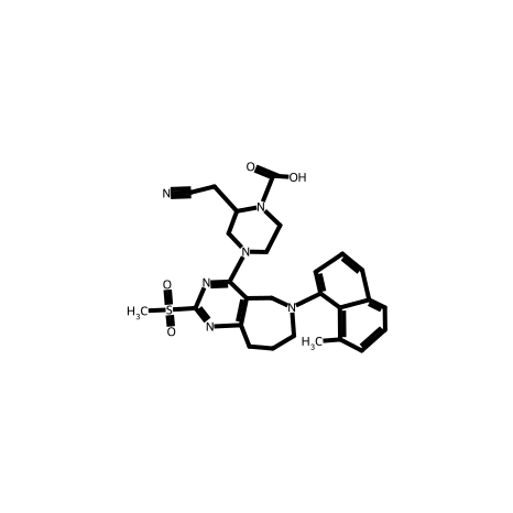 Cc1cccc2cccc(N3CCCc4nc(S(C)(=O)=O)nc(N5CCN(C(=O)O)C(CC#N)C5)c4C3)c12